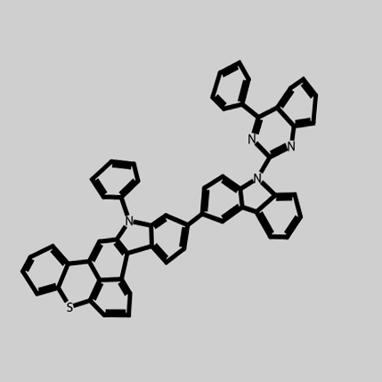 c1ccc(-c2nc(-n3c4ccccc4c4cc(-c5ccc6c7c8cccc9c8c(cc7n(-c7ccccc7)c6c5)-c5ccccc5S9)ccc43)nc3ccccc23)cc1